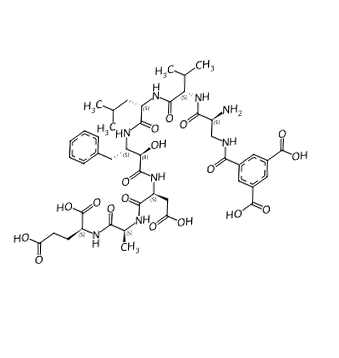 CC(C)C[C@H](NC(=O)[C@@H](NC(=O)[C@@H](N)CNC(=O)c1cc(C(=O)O)cc(C(=O)O)c1)C(C)C)C(=O)N[C@@H](Cc1ccccc1)[C@@H](O)C(=O)N[C@@H](CC(=O)O)C(=O)N[C@@H](C)C(=O)N[C@@H](CCC(=O)O)C(=O)O